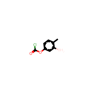 Bc1cc(OC(=O)Cl)ccc1C